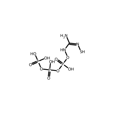 NC(=NS)NOP(=O)(O)OP(=O)(O)OP(=O)(O)O